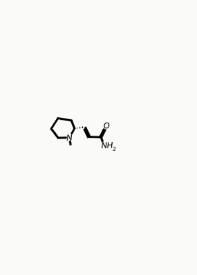 CN1CCCC[C@@H]1/C=C/C(N)=O